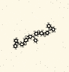 c1ccc(N(c2ccc3oc4cc5c(cc4c3c2)oc2ccc(-n3c4ccccc4c4ccccc43)cc25)c2ccc3oc4cc5c(cc4c3c2)oc2ccc(-n3c4ccccc4c4ccccc43)cc25)cc1